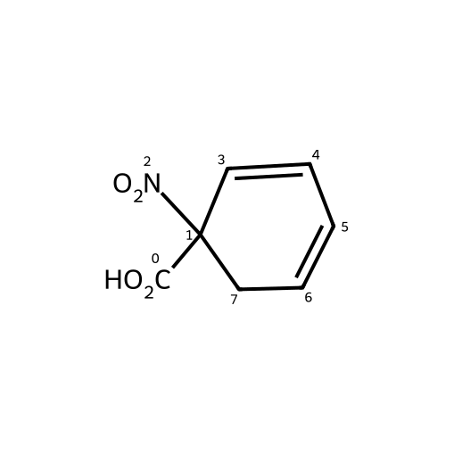 O=C(O)C1([N+](=O)[O-])C=CC=CC1